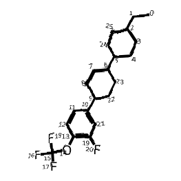 CCC1CCC(C2CCC(c3ccc(OC(F)(F)F)c(F)c3)CC2)CC1